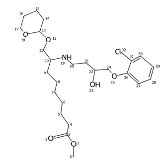 COC(=O)CCCCCCC(COC1CCCCO1)NCCC(O)COc1ccccc1Cl